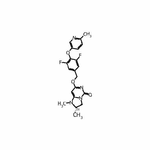 Cc1ccc(Oc2c(F)cc(COc3cc4n(c(=O)n3)C[C@H](C)N4C)cc2F)cn1